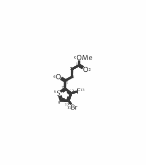 COC(=O)CCC(=O)c1scc(Br)c1F